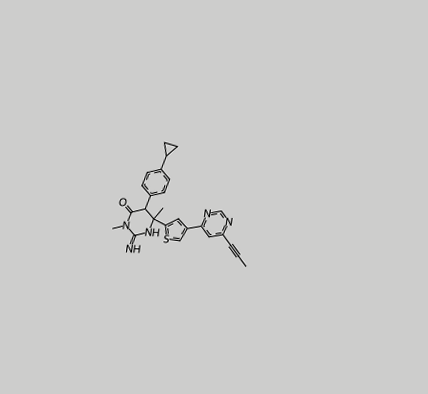 CC#Cc1cc(-c2csc(C3(C)NC(=N)N(C)C(=O)C3c3ccc(C4CC4)cc3)c2)ncn1